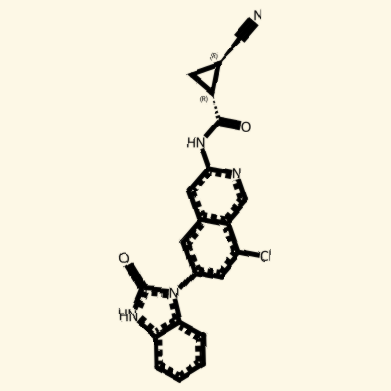 N#C[C@@H]1C[C@H]1C(=O)Nc1cc2cc(-n3c(=O)[nH]c4ccccc43)cc(Cl)c2cn1